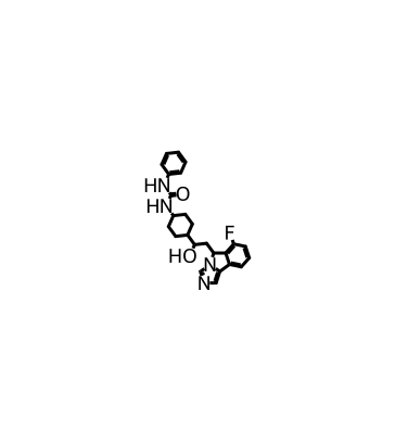 O=C(Nc1ccccc1)NC1CCC(C(O)CC2c3c(F)cccc3-c3cncn32)CC1